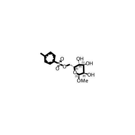 CO[C@H]1O[C@H](COS(=O)(=O)c2ccc(C)cc2)[C@H](O)[C@H](O)[C@H]1O